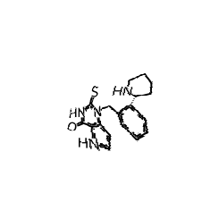 O=c1[nH]c(=S)n(Cc2ccccc2[C@H]2CCCCN2)c2cc[nH]c12